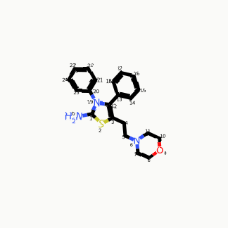 NC1SC(CCN2CCOCC2)=C(c2ccccc2)N1c1ccccc1